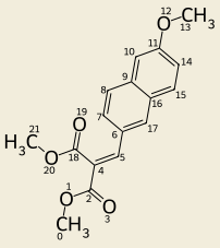 COC(=O)C(=Cc1ccc2cc(OC)ccc2c1)C(=O)OC